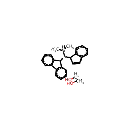 CO.CO.C[SiH](C)[Ti]([CH]1C=Cc2ccccc21)[CH]1c2ccccc2-c2ccccc21